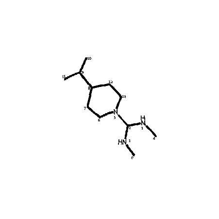 CNC(NC)N1CCC(C(C)C)CC1